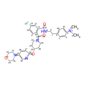 CN(C)c1ccc(CCNC(=O)c2cc(F)ccc2C(=O)N2CCC(Oc3ccc(N4CCOCC4)cn3)CC2)cc1